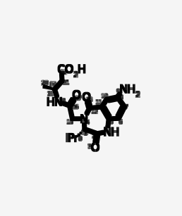 CC(C)[C@H]1C(=O)Nc2ccc(N)cc2C(=O)N1CC(=O)N[C@@H](C)CC(=O)O